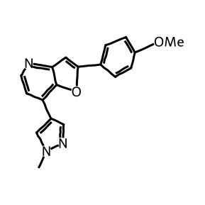 COc1ccc(-c2cc3nccc(-c4cnn(C)c4)c3o2)cc1